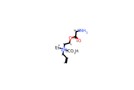 C=CC[N+](CC)(CCOC(=O)CN)C(=O)O